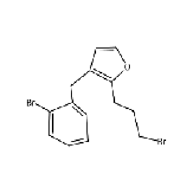 BrCCCc1occc1Cc1ccccc1Br